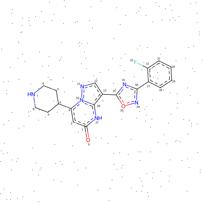 O=c1cc(C2CCNCC2)n2ncc(-c3nc(-c4ccccc4F)no3)c2[nH]1